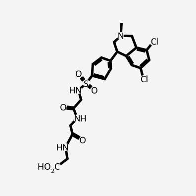 CN1Cc2c(Cl)cc(Cl)cc2C(c2ccc(S(=O)(=O)NCC(=O)NCC(=O)NCC(=O)O)cc2)C1